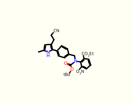 CCOC(=O)c1cccc([N+](=O)[O-])c1N(Cc1ccc(-c2[nH]c(C)cc2CCC#N)cc1)C(=O)OC(C)(C)C